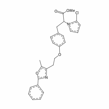 COC(=O)C(Cc1ccc(OCCc2nc(-c3ccccc3)oc2C)cc1)n1cccc1Cl